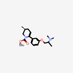 CC(COc1cccc(C2=CC[C@H](C)CN2C(=O)OC(C)(C)C)c1)N(C)C